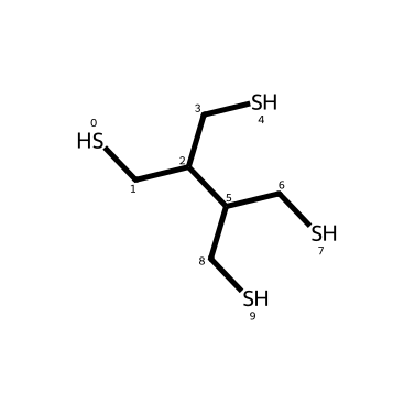 SCC(CS)C(CS)CS